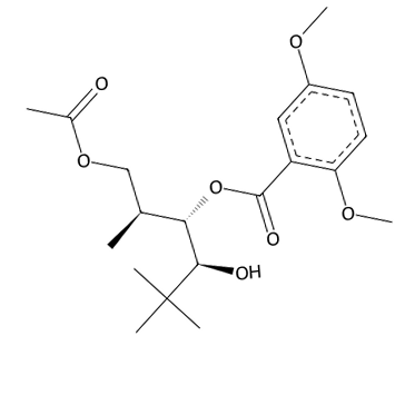 COc1ccc(OC)c(C(=O)O[C@H]([C@@H](O)C(C)(C)C)[C@@H](C)COC(C)=O)c1